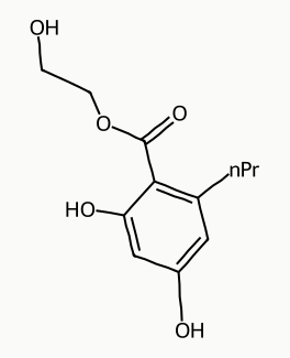 CCCc1cc(O)cc(O)c1C(=O)OCCO